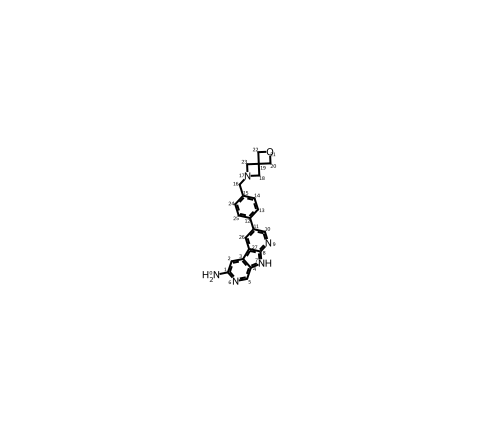 Nc1cc2c(cn1)[nH]c1ncc(-c3ccc(CN4CC5(COC5)C4)cc3)cc12